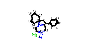 Cl.c1ccc(CCC2(N3CCNCC3)CCCCC2)cc1